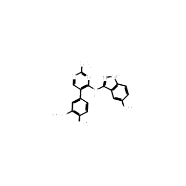 COc1ccc2[nH]nc(Nc3nc(N)ncc3-c3ccc(OC)c(OC)c3)c2c1